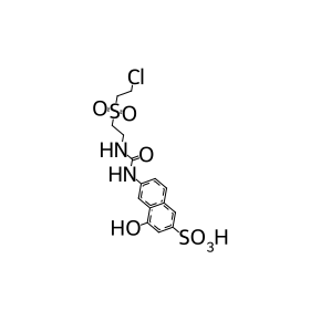 O=C(NCCS(=O)(=O)CCCl)Nc1ccc2cc(S(=O)(=O)O)cc(O)c2c1